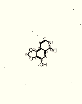 Oc1cc2c(Cl)nccc2c2c1OCO2